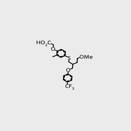 COCCC(COc1ccc(C(F)(F)F)cc1)CSc1ccc(OCC(=O)O)c(C)c1